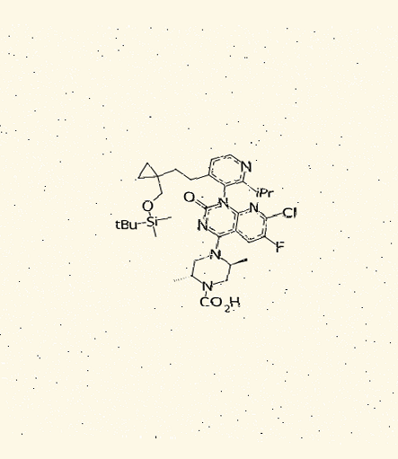 CC(C)c1nccc(CCC2(CO[Si](C)(C)C(C)(C)C)CC2)c1-n1c(=O)nc(N2C[C@@H](C)N(C(=O)O)C[C@@H]2C)c2cc(F)c(Cl)nc21